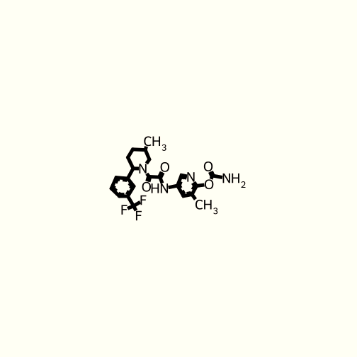 Cc1cc(NC(=O)C(=O)N2CC(C)CCC2c2cccc(C(F)(F)F)c2)cnc1OC(N)=O